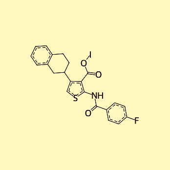 O=C(Nc1scc(C2CCc3ccccc3C2)c1C(=O)OI)c1ccc(F)cc1